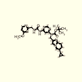 COc1ccnc(CNC(=O)Nc2cc(N(Cc3cn4cc(C5CC5)ccc4n3)C(=O)OC(C)(C)C)ncn2)n1